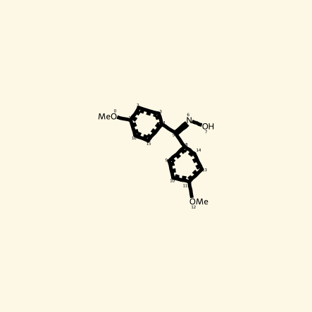 COc1ccc(C(=NO)c2ccc(OC)cc2)cc1